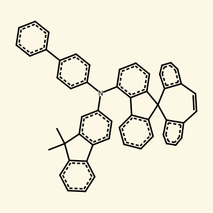 CC1(C)c2ccccc2-c2ccc(N(c3ccc(-c4ccccc4)cc3)c3cccc4c3-c3ccccc3C43c4ccccc4C=Cc4ccccc43)cc21